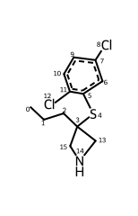 CCCC1(Sc2cc(Cl)ccc2Cl)CNC1